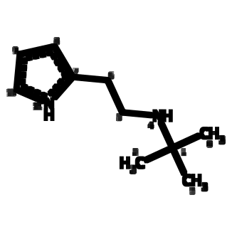 CC(C)(C)NCCc1ccc[nH]1